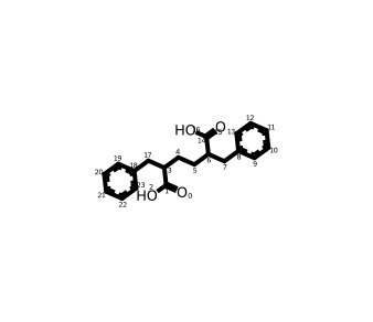 O=C(O)C(CCC(Cc1ccccc1)C(=O)O)Cc1ccccc1